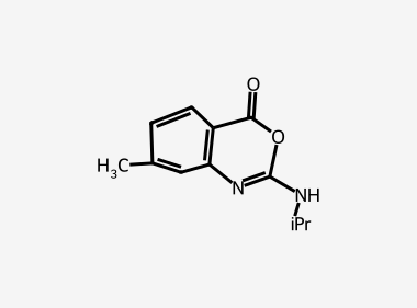 Cc1ccc2c(=O)oc(NC(C)C)nc2c1